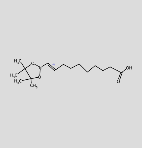 CC1(C)OB(/C=C/CCCCCCCC(=O)O)OC1(C)C